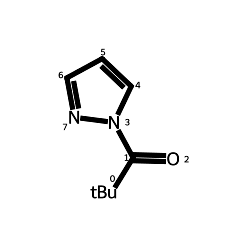 CC(C)(C)C(=O)n1cccn1